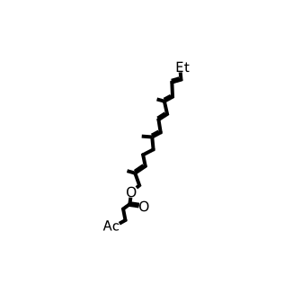 CC/C=C/C=C(C)/C=C/C=C(\C)CC/C=C(\C)COC(=O)CCC(C)=O